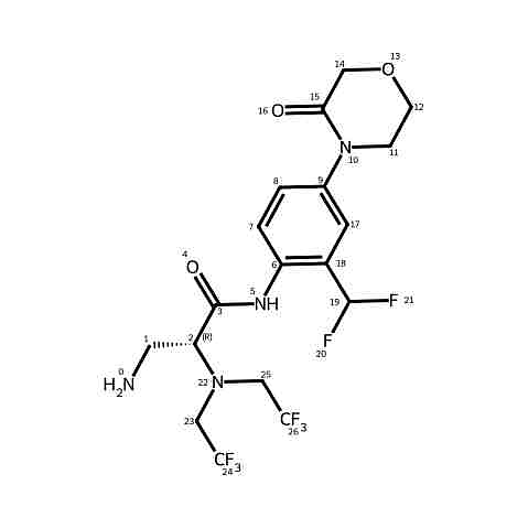 NC[C@H](C(=O)Nc1ccc(N2CCOCC2=O)cc1C(F)F)N(CC(F)(F)F)CC(F)(F)F